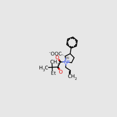 C=CC[N+]1(C(=O)C(=O)C(C)(C)CC)CCC(c2ccccc2)[C@H]1C(=O)[O-]